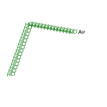 Cl.Cl.Cl.Cl.Cl.Cl.Cl.Cl.Cl.Cl.Cl.Cl.Cl.Cl.Cl.Cl.Cl.Cl.Cl.Cl.Cl.Cl.Cl.Cl.Cl.Cl.Cl.Cl.Cl.Cl.[Au]